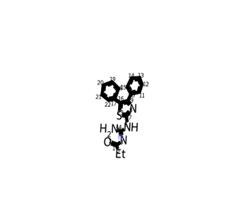 CCC(=O)/N=C(\N)Nc1nc(-c2ccccc2)c(-c2ccccc2)s1